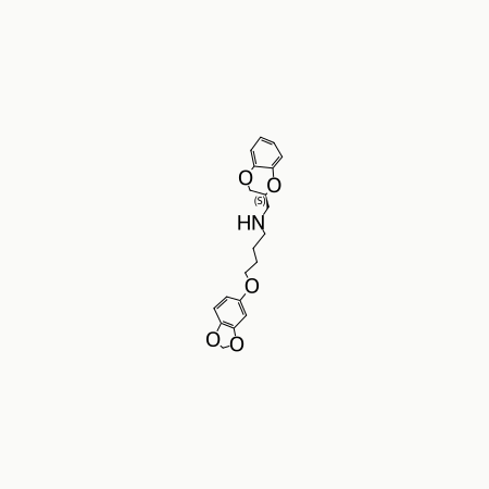 c1ccc2c(c1)OC[C@H](CNCCCCOc1ccc3c(c1)OCO3)O2